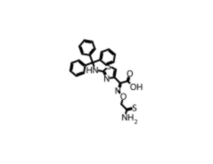 NC(=S)CON=C(C(=O)O)c1csc(NC(c2ccccc2)(c2ccccc2)c2ccccc2)n1